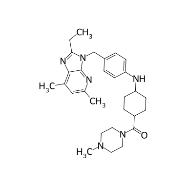 CCc1nc2c(C)cc(C)nc2n1Cc1ccc(NC2CCC(C(=O)N3CCN(C)CC3)CC2)cc1